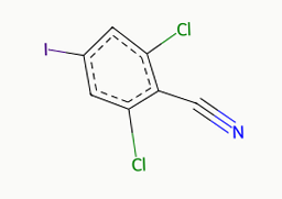 N#Cc1c(Cl)cc(I)cc1Cl